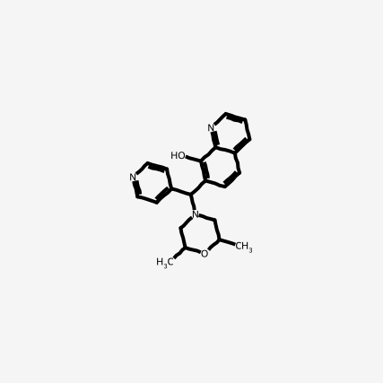 CC1CN(C(c2ccncc2)c2ccc3cccnc3c2O)CC(C)O1